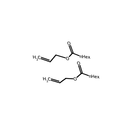 C=CCOC(=O)CCCCCC.C=CCOC(=O)CCCCCC